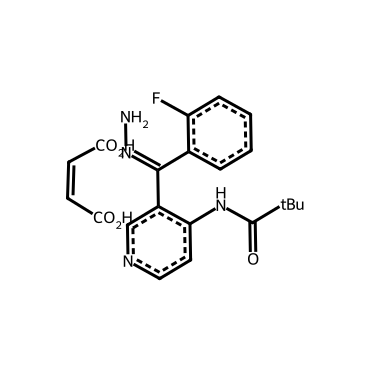 CC(C)(C)C(=O)Nc1ccncc1C(=NN)c1ccccc1F.O=C(O)/C=C\C(=O)O